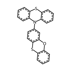 c1ccc2c(c1)Oc1cc(N3c4ccccc4Sc4ccccc43)ccc1S2